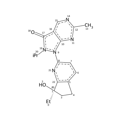 CC[C@@]1(O)CCc2ccc(-n3c4nc(C)ncc4c(=O)n3C(C)C)nc21